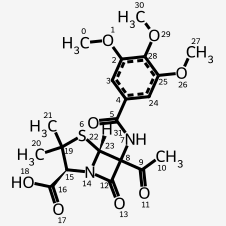 COc1cc(C(=O)NC2(C(C)=O)C(=O)N3[C@@H](C(=O)O)C(C)(C)S[C@@H]32)cc(OC)c1OC